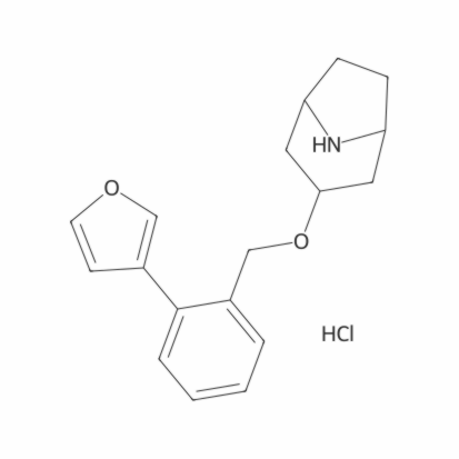 Cl.c1ccc(-c2ccoc2)c(COC2CC3CCC(C2)N3)c1